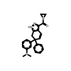 CN(C)c1cccc(C2(c3ccccc3)C=Cc3c(C(=O)N4CC4)n[nH]c3C2)c1